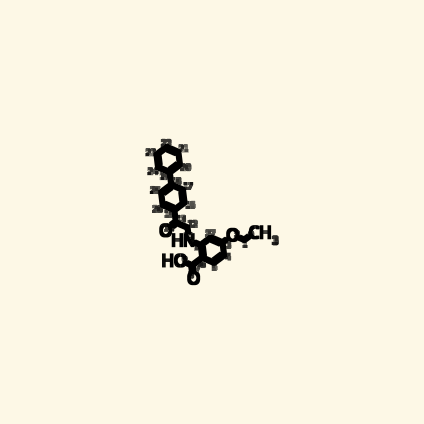 CCOc1ccc(C(=O)O)c(NCC(=O)c2ccc(-c3ccccc3)cc2)c1